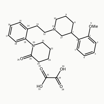 COc1ccccc1C1CCCN(CCc2ccccc2N2CCCCC2=O)C1.O=C(O)C(=O)O